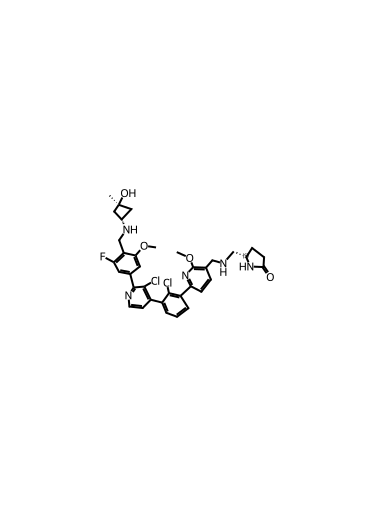 COc1cc(-c2nccc(-c3cccc(-c4ccc(CNC[C@@H]5CCC(=O)N5)c(OC)n4)c3Cl)c2Cl)cc(F)c1CN[C@H]1C[C@](C)(O)C1